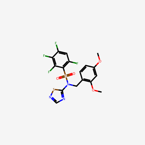 COc1ccc(CN(c2ncns2)S(=O)(=O)c2c(F)cc(F)c(F)c2F)c(OC)c1